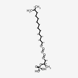 CC(C)CCCCCCCCCCCOOOOOCC(C)OP(=O)(O)O